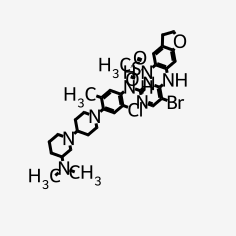 Cc1cc(Nc2ncc(Br)c(Nc3cc4c(cc3NS(C)(=O)=O)CCO4)n2)c(Cl)cc1N1CCC(N2CCCC(N(C)C)C2)CC1